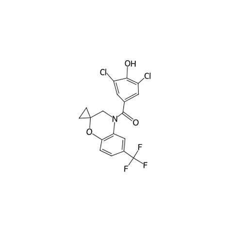 O=C(c1cc(Cl)c(O)c(Cl)c1)N1CC2(CC2)Oc2ccc(C(F)(F)F)cc21